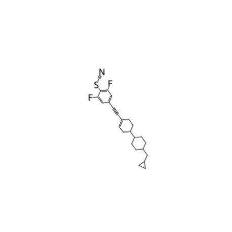 N#CSc1c(F)cc(C#CC2=CCC(C3CCC(CC4CC4)CC3)CC2)cc1F